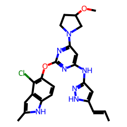 C/C=C/c1cc(Nc2cc(N3CCC(OC)C3)nc(Oc3ccc4[nH]c(C)cc4c3Cl)n2)n[nH]1